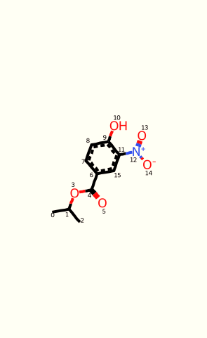 CC(C)OC(=O)c1ccc(O)c([N+](=O)[O-])c1